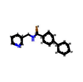 S=C(NCc1cccnc1)c1ccc(-c2ccccc2)cc1